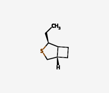 CC[C@@H]1SC[C@H]2CCC21